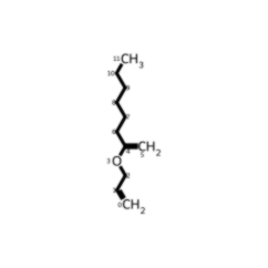 C=CCOC(=C)CCCCCC